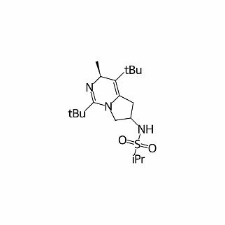 CC(C)S(=O)(=O)NC1CC2=C(C(C)(C)C)[C@H](C)N=C(C(C)(C)C)N2C1